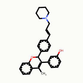 CC1=C(c2cccc(O)c2)C(c2ccc(/C=C/CN3CCCCC3)cc2)Oc2ccccc21